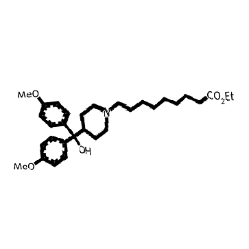 CCOC(=O)CCCCCCCCN1CCC(C(O)(c2ccc(OC)cc2)c2ccc(OC)cc2)CC1